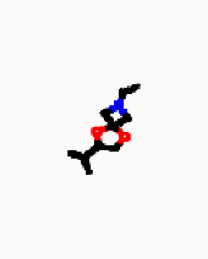 CCN1CC2(C1)OCC(C(C)C)O2